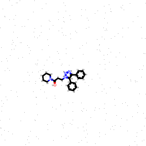 O=C(CCn1nnc(-c2ccccc2)c1-c1ccccc1)N1CCCCC1